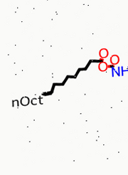 CCCCCCCCC=CCCCCCCCC(=O)OC(N)=O